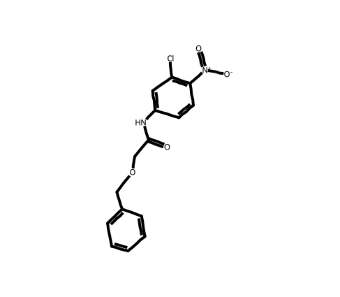 O=C(COCc1ccccc1)Nc1ccc([N+](=O)[O-])c(Cl)c1